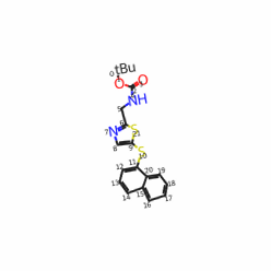 CC(C)(C)OC(=O)NCc1ncc(Sc2cccc3ccccc23)s1